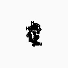 CC(NC(=O)C(NC(=O)OCC1c2ccccc2-c2ccccc21)C(C)C)C(=O)Nc1ccc(COC(=O)Oc2ccc([N+](=O)[O-])cc2)c(CCCOCCCS(=O)(=O)OCC(C)(C)CCO[Si](c2ccccc2)(c2ccccc2)C(C)(C)C)c1